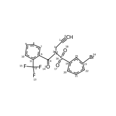 C#CCN(C(=O)c1ccccc1C(F)(F)F)S(=O)(=O)c1cccc(Br)c1